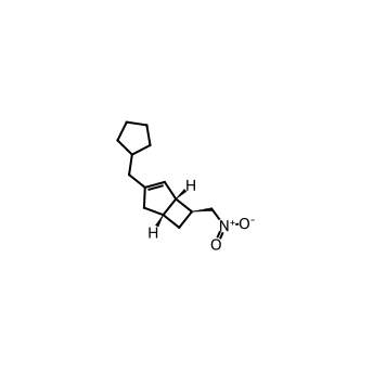 O=[N+]([O-])C[C@H]1C[C@@H]2CC(CC3CCCC3)=C[C@H]12